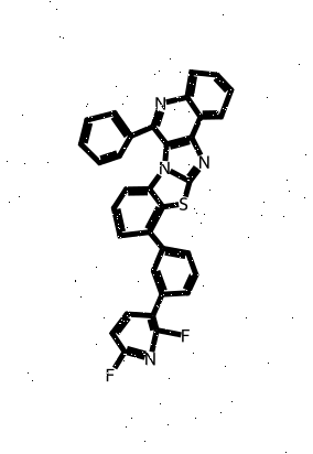 Fc1ccc(-c2cccc(-c3cccc4c3sc3nc5c6ccccc6nc(-c6ccccc6)c5n34)c2)c(F)n1